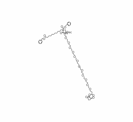 CCCCCCCCCCC[C@](CCCCCCCCCCC(=O)OCc1ccccc1)(C(=O)NCCOCCOCCOCCOCCOCCOCCOCCOCCOCCOCCOCCOCCC(=O)ON1C(=O)CCC1=O)C(=O)OCc1ccccc1